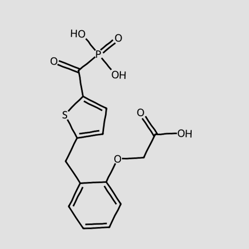 O=C(O)COc1ccccc1Cc1ccc(C(=O)P(=O)(O)O)s1